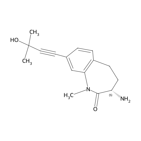 CN1C(=O)[C@@H](N)CCc2ccc(C#CC(C)(C)O)cc21